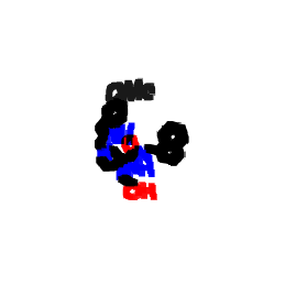 COc1ccc2[nH]c(CN3CCc4c(c(C(=O)NCc5cccc6ccccc56)nn4CCO)C3)cc2c1